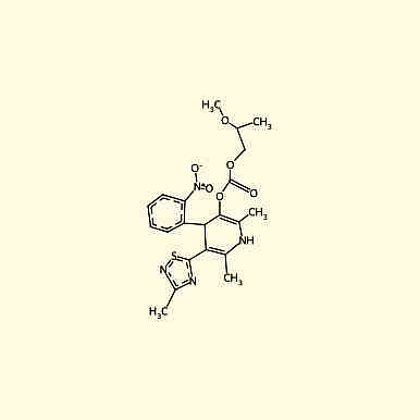 COC(C)COC(=O)OC1=C(C)NC(C)=C(c2nc(C)ns2)C1c1ccccc1[N+](=O)[O-]